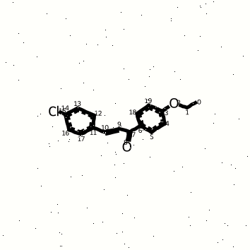 CCOc1ccc(C(=O)C=Cc2ccc(Cl)cc2)cc1